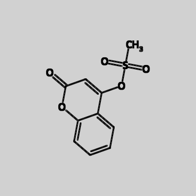 CS(=O)(=O)Oc1cc(=O)oc2ccccc12